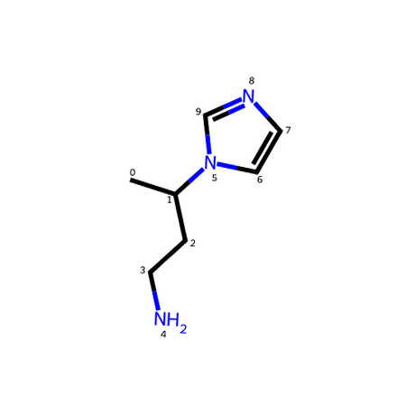 CC(CCN)n1ccnc1